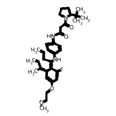 C=CC/C(Nc1ccc(NC(=O)CC(=O)N2CCCC2C(C)(C)C)cc1)=c1/c(F)cc(OCCOC)c/c1=C(\C)C=C